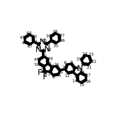 FC1(F)c2ccc(-c3ccc4c(c3)c3ccccc3n4-c3ccccc3)cc2-c2cc(-c3nc(-c4ccccc4)nc(-c4ccccc4)n3)ccc21